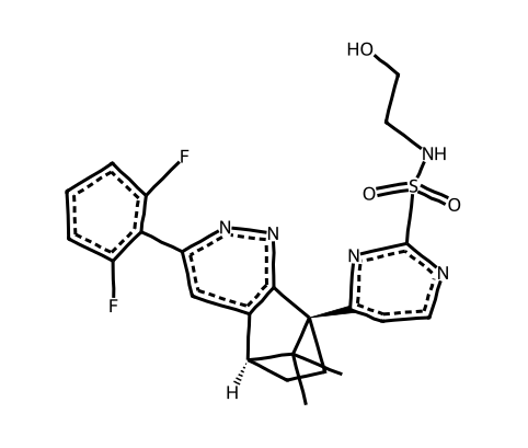 CC1(C)[C@H]2CC[C@@]1(c1ccnc(S(=O)(=O)NCCO)n1)c1nnc(-c3c(F)cccc3F)cc12